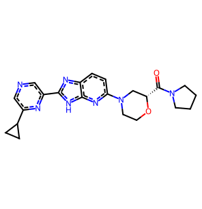 O=C([C@H]1CN(c2ccc3nc(-c4cncc(C5CC5)n4)[nH]c3n2)CCO1)N1CCCC1